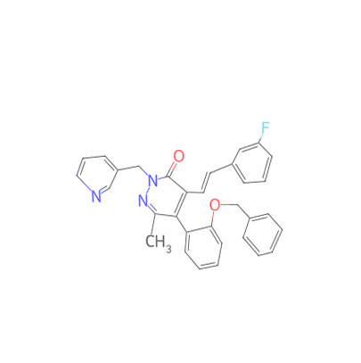 Cc1nn(Cc2cccnc2)c(=O)c(/C=C/c2cccc(F)c2)c1-c1ccccc1OCc1ccccc1